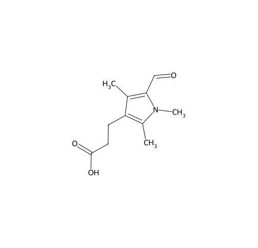 Cc1c(CCC(=O)O)c(C)n(C)c1C=O